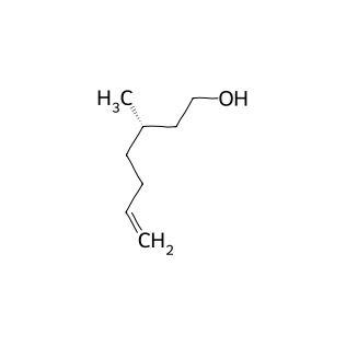 C=CCC[C@H](C)CCO